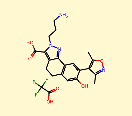 Cc1noc(C)c1-c1cc2c(cc1O)CCc1c-2nn(CCCN)c1C(=O)O.O=C(O)C(F)(F)F